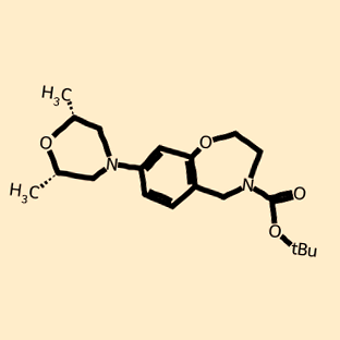 C[C@@H]1CN(c2ccc3c(c2)OCCN(C(=O)OC(C)(C)C)C3)C[C@H](C)O1